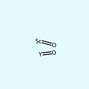 [O]=[Sc].[O]=[Y]